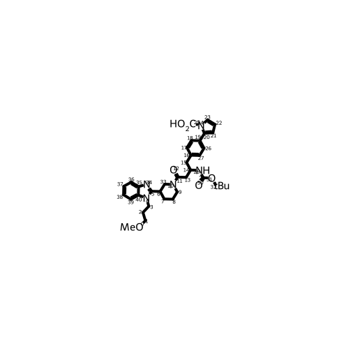 COCCCn1c(C2CCCN(C(=O)CC(Cc3ccc(-c4cccn4C(=O)O)cc3)NC(=O)OC(C)(C)C)C2)nc2ccccc21